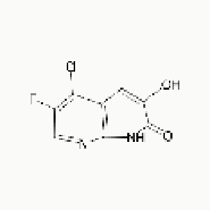 O=c1[nH]c2ncc(F)c(Cl)c2cc1O